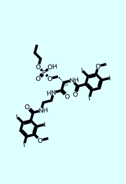 CCCOP(=O)(O)OC[C@H](NC(=O)c1c(I)cc(I)c(OC)c1I)C(=O)NCCNC(=O)c1c(I)cc(I)c(OC)c1I